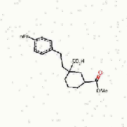 CCCc1ccc(CCC2(C(=O)O)CCCC(C(=O)OC)C2)cc1